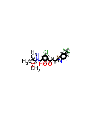 COC[C@H](NCc1cc(Cl)cc(C(=O)CCc2nc3ccc(C(F)(F)F)cc3s2)c1O)C(C)C